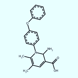 CC1=C(C)N(c2ccc(Oc3ccccc3)cc2)C(N)C(C(=O)O)=C1